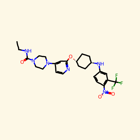 CCNC(=O)N1CCN(c2ccnc(O[C@H]3CC[C@H](Nc4ccc([N+](=O)[O-])c(C(F)(F)F)c4)CC3)c2)CC1